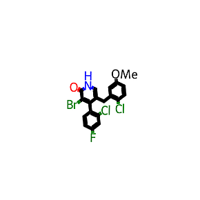 COc1ccc(Cl)c(Cc2c[nH]c(=O)c(Br)c2-c2ccc(F)cc2Cl)c1